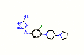 NC1NNC(Nc2ccc(N3CCC(N4CCCC4)CC3)c(F)c2)N1